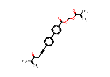 C=C(C)C(=O)CC#Cc1ccc(-c2ccc(C(=O)OCOC(=O)C(=C)C)cc2)cc1